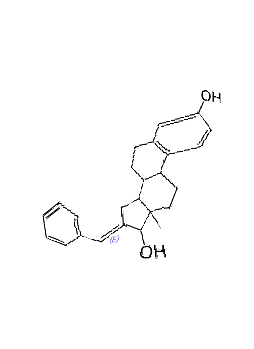 CC12CCC3c4ccc(O)cc4CCC3C1C/C(=C\c1ccccc1)C2O